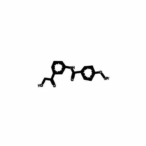 CCCOc1ccc(C(=O)Nc2cccc(C(=O)CO)c2)cc1